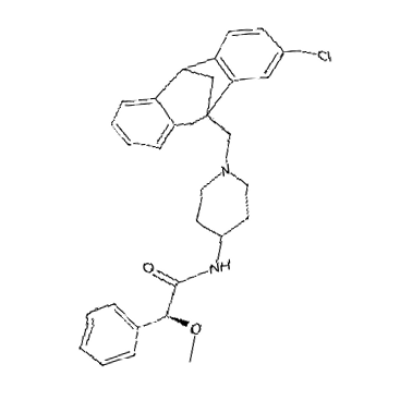 CO[C@H](C(=O)NC1CCN(CC23CC(c4ccccc42)c2ccc(Cl)cc23)CC1)c1ccccc1